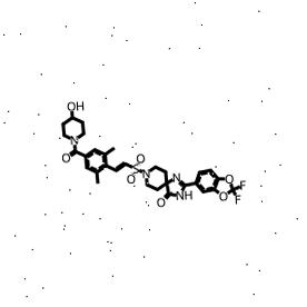 Cc1cc(C(=O)N2CCC(O)CC2)cc(C)c1/C=C/S(=O)(=O)N1CCC2(CC1)N=C(c1ccc3c(c1)OC(F)(F)O3)NC2=O